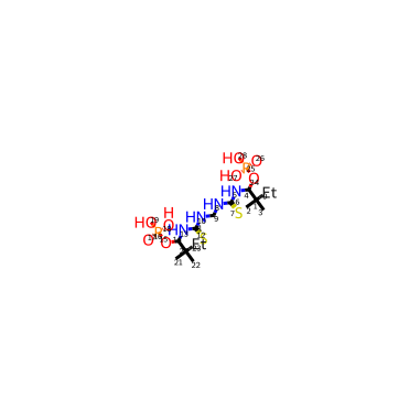 CCC(C)(C)C(NC(=S)NCNC(=S)NC(OP(=O)(O)O)C(C)(C)CC)OP(=O)(O)O